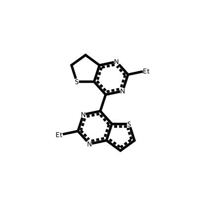 CCc1nc2c(c(-c3nc(CC)nc4ccsc34)n1)SCC2